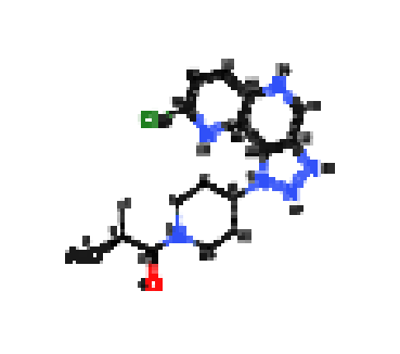 CC(=O)O[C@@H](C)C(=O)N1CCC(n2nnc3cnc4ccc(Cl)nc4c32)CC1